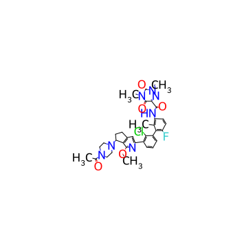 COc1nc(-c2cccc(-c3c(F)ccc(NC(=O)c4nn(C)c(=O)n(C)c4=O)c3C)c2Cl)cc2c1C(N1CCN(C(C)=O)CC1)CC2